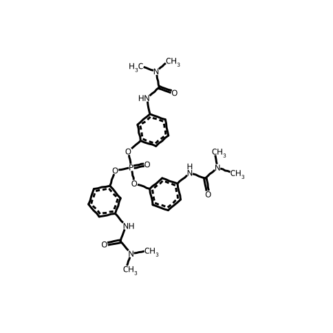 CN(C)C(=O)Nc1cccc(OP(=O)(Oc2cccc(NC(=O)N(C)C)c2)Oc2cccc(NC(=O)N(C)C)c2)c1